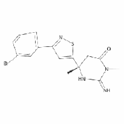 CN1C(=N)N[C@](C)(c2cc(-c3cccc(Br)c3)ns2)CC1=O